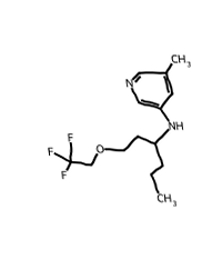 CCCC(CCOCC(F)(F)F)Nc1cncc(C)c1